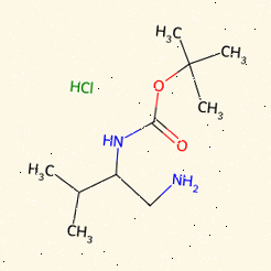 CC(C)C(CN)NC(=O)OC(C)(C)C.Cl